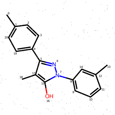 Cc1ccc(-c2nn(-c3cccc(C)c3)c(O)c2C)cc1